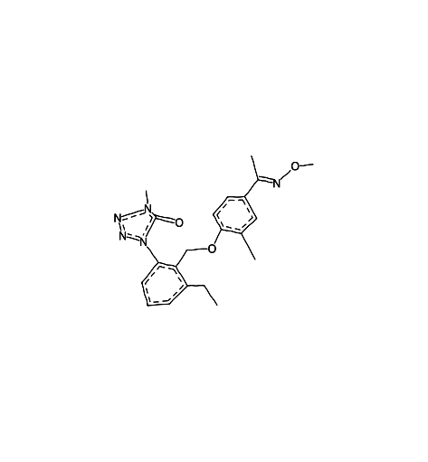 CCc1cccc(-n2nnn(C)c2=O)c1COc1ccc(C(C)=NOC)cc1C